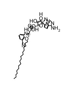 CCCCCCCCCCCCCCCCCCOC[C@H](COP(=O)(O)OC[C@H]1O[C@@](C#N)(c2ccc3c(N)ncnn23)[C@H](O)[C@@H]1O)Nc1cccc(C#N)c1